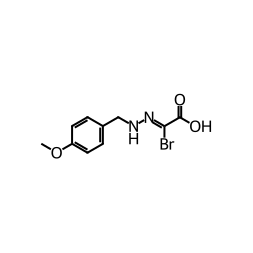 COc1ccc(CNN=C(Br)C(=O)O)cc1